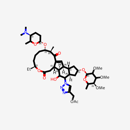 CC[C@H]1CCC[C@H](O[C@H]2CC[C@H](N(C)C)C(C)O2)[C@@H](C)C(=O)C2=C[C@H]3[C@@H]4C[C@H](O[C@@H]5OC(C)[C@H](OC)C(OC)C5OC)C[C@H]4C(n4cc(COC(C)=O)nn4)C(O)[C@H]3[C@@H]2CC(=O)O1